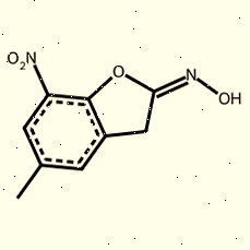 Cc1cc2c(c([N+](=O)[O-])c1)OC(=NO)C2